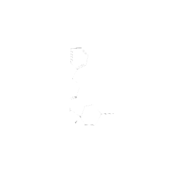 CC(C)C1CC[C@](C)(I)C(C(=O)OCc2ccccc2)C1